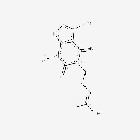 CCCn1cnc2c1c(=O)n(CCC=C(C)C)c(=O)n2C